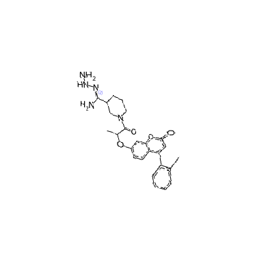 Cc1ccccc1-c1cc(=O)oc2cc(OC(C)C(=O)N3CCCC(/C(N)=N/NN)C3)ccc12